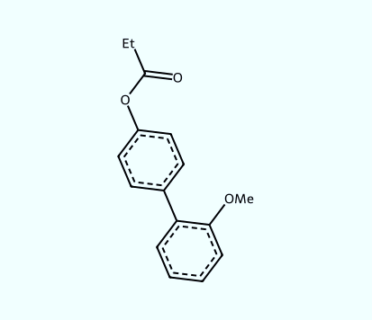 CCC(=O)Oc1ccc(-c2ccccc2OC)cc1